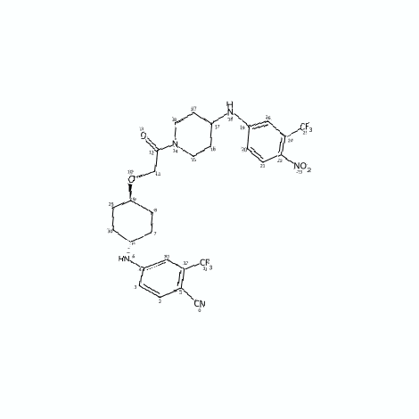 N#Cc1ccc(N[C@H]2CC[C@H](OCC(=O)N3CCC(Nc4ccc([N+](=O)[O-])c(C(F)(F)F)c4)CC3)CC2)cc1C(F)(F)F